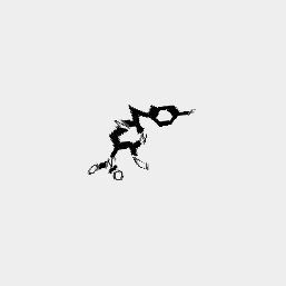 O=[N+]([O-])c1cnc(Cc2ccc(F)cc2)nc1Cl